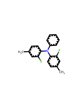 Cc1ccc(N(c2ccccc2)c2ccc(C)cc2F)c(F)c1